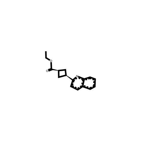 CCOC(=O)[C@H]1C[C@@H](c2ccc3ccccc3n2)C1